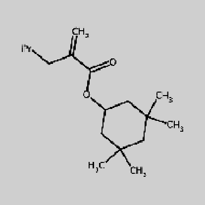 C=C(CC(C)C)C(=O)OC1CC(C)(C)CC(C)(C)C1